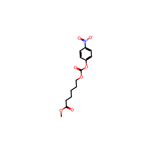 COC(=O)CCCCCOC(=O)Oc1ccc([N+](=O)[O-])cc1